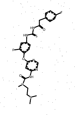 CN(C)CCN(C)C(=O)Nc1cc(Oc2ccc(NC(=S)NC(=O)Cc3ccc(F)cc3)cc2F)ncn1